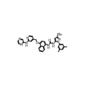 Cc1cc(C)cc(-n2nc(C(C)(C)C)cc2NC(=O)Nc2ccc(OCc3ccnc(Nc4cnccn4)c3)c3ccccc23)c1